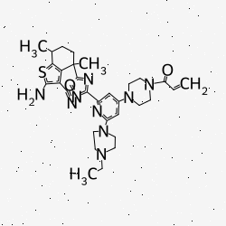 C=CC(=O)N1CCN(c2cc(-c3noc(C4(C)CCC(C)c5sc(N)c(C#N)c54)n3)nc(N3CCN(CC)CC3)c2)CC1